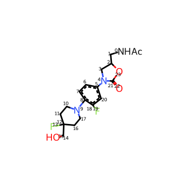 CC(=O)NCC1CN(c2ccc(N3CCC(F)(CO)CC3)c(F)c2)C(=O)O1